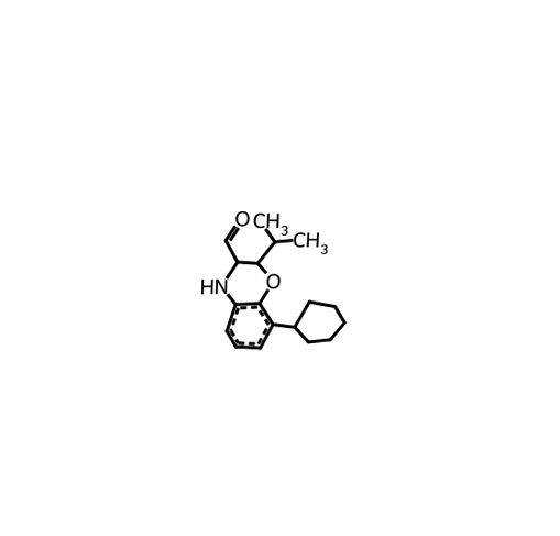 CC(C)C1Oc2c(cccc2C2CCCCC2)NC1C=O